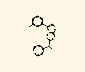 NC(c1ccncc1)c1nn2c(-c3cccc(F)c3)cnc2s1